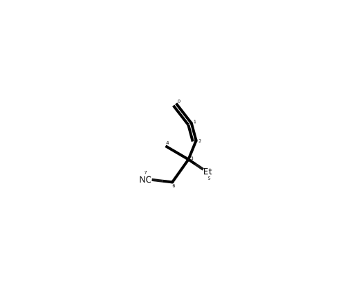 C=C=CC(C)(CC)CC#N